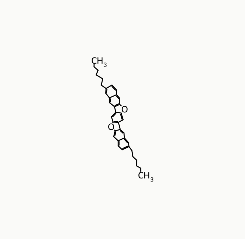 CCCCCCc1ccc2cc3oc4cc5c(cc4c3cc2c1)oc1cc2ccc(CCCCCC)cc2cc15